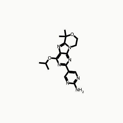 CC(C)Oc1nc(-c2cnc(N)nc2)nc2c1nc1n2CCOC1(C)C